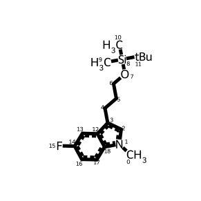 Cn1cc(CCCO[Si](C)(C)C(C)(C)C)c2cc(F)ccc21